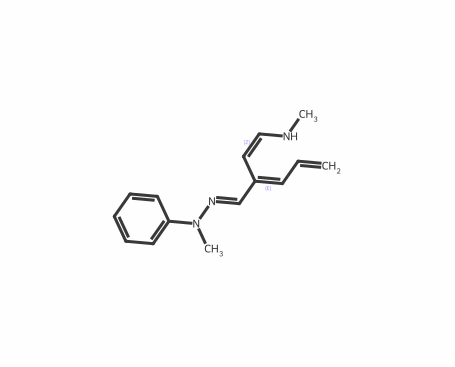 C=C/C=C(C=NN(C)c1ccccc1)\C=C/NC